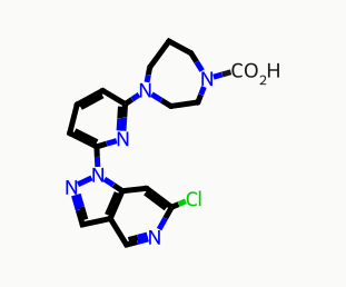 O=C(O)N1CCCN(c2cccc(-n3ncc4cnc(Cl)cc43)n2)CC1